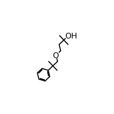 CC(C)(O)CCOCC(C)(C)c1ccccc1